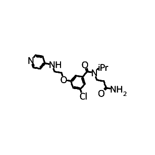 CC(C)N(CCC(N)=O)C(=O)c1cc(Cl)cc(OCCNc2ccncc2)c1